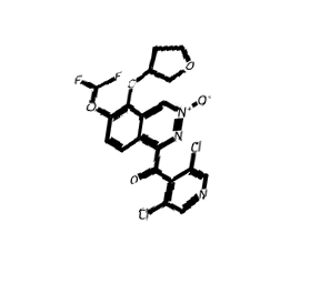 O=C(c1c(Cl)cncc1Cl)c1n[n+]([O-])cc2c(OC3CCOC3)c(OC(F)F)ccc12